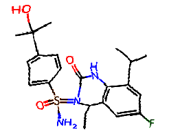 CC(C)c1cc(F)cc(C(C)C)c1NC(=O)N=[S@](N)(=O)c1ccc(C(C)(C)O)cc1